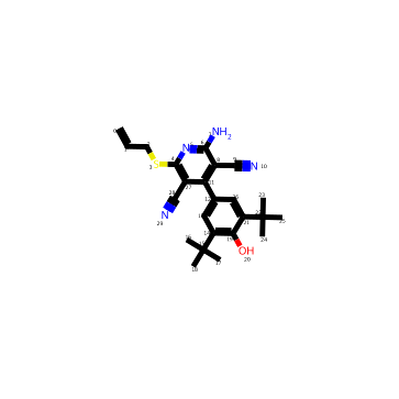 C=CCSc1nc(N)c(C#N)c(-c2cc(C(C)(C)C)c(O)c(C(C)(C)C)c2)c1C#N